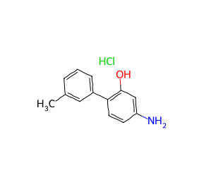 Cc1cccc(-c2ccc(N)cc2O)c1.Cl